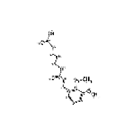 COc1cccc(C=CC(=O)OCCCCC(=O)O)c1OC